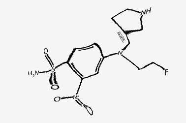 NS(=O)(=O)c1ccc(N(CCF)[C@H]2CCNC2)cc1[N+](=O)[O-]